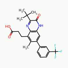 Cc1c(-c2cccc(C(F)(F)F)c2)cc2[nH]c(=O)c(C(C)(C)C)nc2c1CCC(=O)O